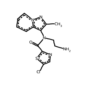 Cc1nn2ccccc2c1N(CCN)C(=O)c1ncc(Cl)s1